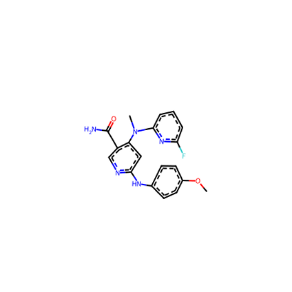 COc1ccc(Nc2cc(N(C)c3cccc(F)n3)c(C(N)=O)cn2)cc1